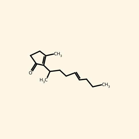 CCCC=CCCC(C)C1=C(C)CCC1=O